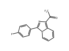 O=C(c1nc(-c2ccc(F)cc2)n2ccccc12)C(F)(F)F